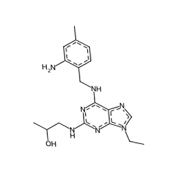 CCn1cnc2c(NCc3ccc(C)cc3N)nc(NCC(C)O)nc21